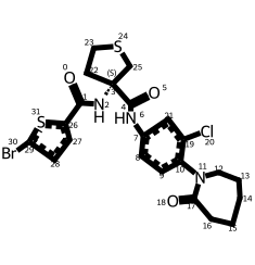 O=C(N[C@]1(C(=O)Nc2ccc(N3CCCCCC3=O)c(Cl)c2)CCSC1)c1ccc(Br)s1